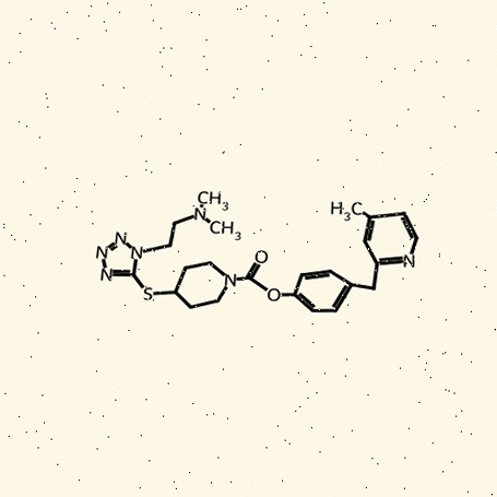 Cc1ccnc(Cc2ccc(OC(=O)N3CCC(Sc4nnnn4CCN(C)C)CC3)cc2)c1